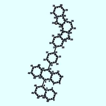 c1ccc2c(-c3c4ccccc4c(-c4ccc(-c5ccc6c(c5)sc5ccc7c8ccccc8oc7c56)cc4)c4ccccc34)cccc2c1